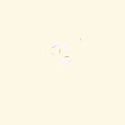 CCOC(=O)C1CCN(c2ncc(C=O)cc2-c2ccnn2C2CCCCO2)CC1